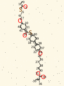 C=CC(=O)SCCCOc1ccc(C(=O)Sc2ccc(-c3ccc(OCCCCCCOC(=O)C(=C)C)cc3)cc2)cc1